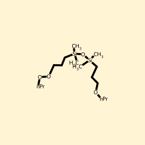 CCCOCCC[Si](C)(C)O[Si](C)(C)CCCOOCCC